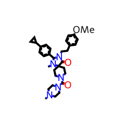 COc1ccc(CCN2C(=O)C3(CCN(C(=O)N4CCN(C)CC4)CC3)N(C)C2c2ccc(C3CC3)cc2)cc1